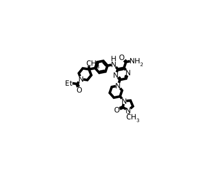 CCC(=O)N1CCC(C)(c2ccc(Nc3nc(N4CCCC(N5CCN(C)C5=O)C4)cnc3C(N)=O)cc2)CC1